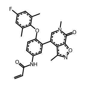 C=CC(=O)Nc1ccc(Oc2c(C)cc(F)cc2C)c(-c2cn(C)c(=O)c3onc(C)c23)c1